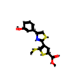 COC(=O)c1cc(-c2nc(-c3cccc(O)c3)cs2)c(SC)s1